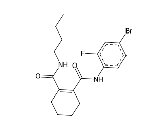 CCCCNC(=O)C1=C(C(=O)Nc2ccc(Br)cc2F)CCCC1